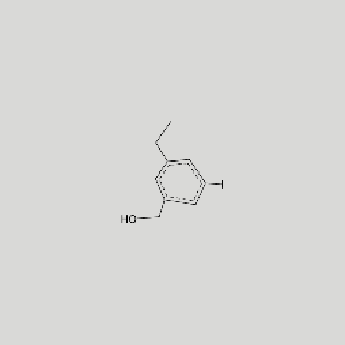 CCc1cc(I)cc(CO)c1